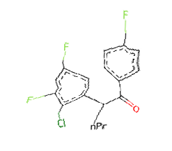 CCCC(C(=O)c1ccc(F)cc1)c1cc(F)cc(F)c1Cl